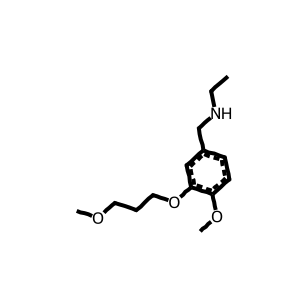 CCNCc1ccc(OC)c(OCCCOC)c1